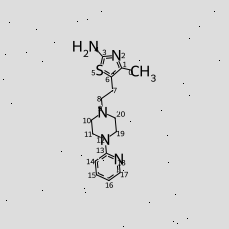 Cc1nc(N)sc1CCN1CCN(c2ccccn2)CC1